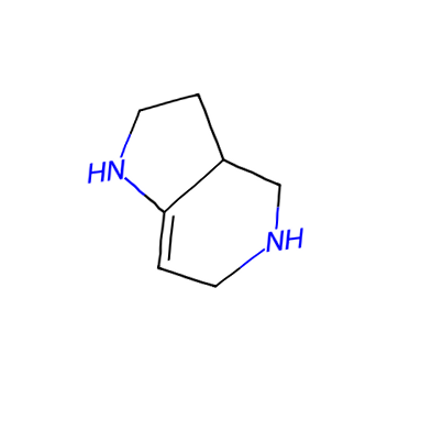 C1=C2NCCC2CNC1